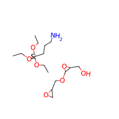 CCO[Si](CCCN)(OCC)OCC.OCC1OC1OCC1CO1